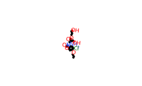 CCCOc1cc2oc(=O)n(CC(N)(CO)C(=O)OCCCO)c2cc1Cl